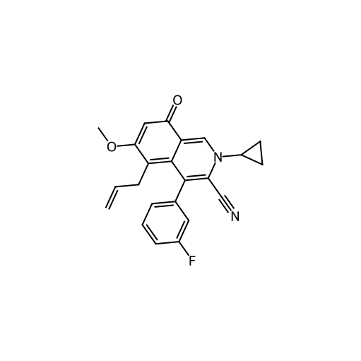 C=CCc1c(OC)cc(=O)c2cn(C3CC3)c(C#N)c(-c3cccc(F)c3)c1-2